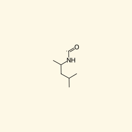 CC(C)CC(C)N[C]=O